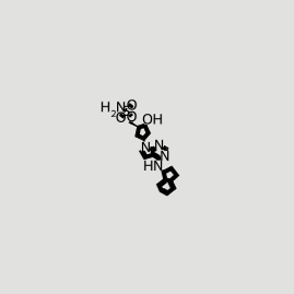 NS(=O)(=O)OC[C@@H]1C[C@@H](n2ccc3c(N[C@H]4CCc5ccccc54)ncnc32)CC1O